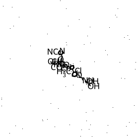 Cc1c(COc2cc(OCc3cncc(C#N)c3)c(CNC(C)(CO)C(=O)O)cc2Cl)cccc1-c1cccc(OCCCNC[C@H](O)CO)c1Cl